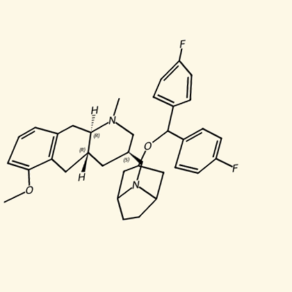 COc1cccc2c1C[C@H]1C[C@H](CN3C4CCC3CC(OC(c3ccc(F)cc3)c3ccc(F)cc3)C4)CN(C)[C@@H]1C2